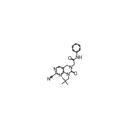 CC(C)(C)CN1C(=O)N(CC(=O)Nc2ccccc2)Cc2cnc(C#N)nc21